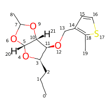 CCC[C@H]1O[C@@H]2OC(C)O[C@@H]2[C@H]1OCc1ccsc1C